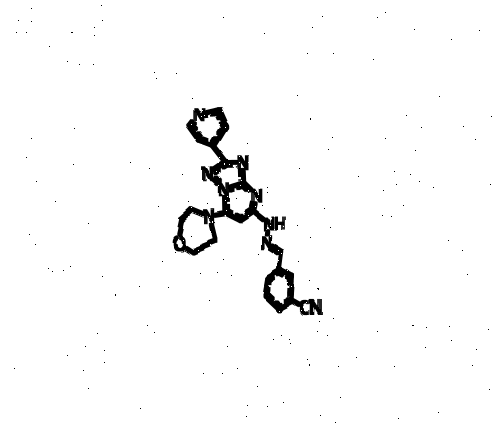 N#Cc1cccc(C=NNc2cc(N3CCOCC3)n3nc(-c4ccncc4)nc3n2)c1